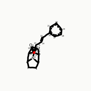 CCC(=O)N1C2CCC1C1CCC2N1CC=Cc1ccccc1